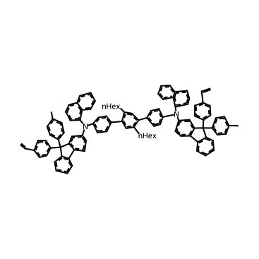 C=Cc1ccc(C2(c3ccc(C)cc3)c3ccccc3-c3ccc(N(c4ccc(-c5cc(CCCCCC)c(-c6ccc(N(c7ccc8c(c7)C(c7ccc(C)cc7)(c7ccc(C=C)cc7)c7ccccc7-8)c7cccc8ccccc78)cc6)cc5CCCCCC)cc4)c4cccc5ccccc45)cc32)cc1